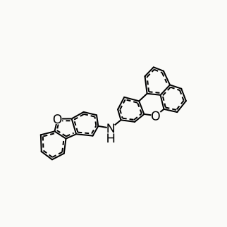 c1cc2c3c(cccc3c1)-c1ccc(Nc3ccc4oc5ccccc5c4c3)cc1O2